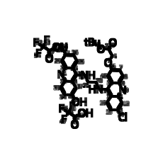 CC(C)(C)OC(=O)COc1ccc2nc3cc(Cl)ccc3c(NCCNc3c4ccc(Cl)cc4nc4ccc(O)cc34)c2c1.O=C(O)C(F)(F)F.O=C(O)C(F)(F)F